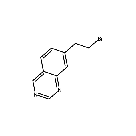 BrCCc1ccc2cncnc2c1